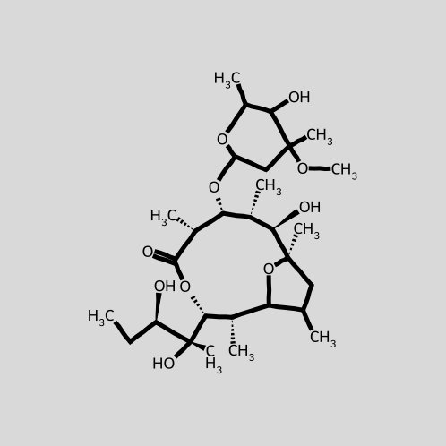 CC[C@@H](O)[C@@](C)(O)[C@@H]1OC(=O)[C@H](C)[C@H](OC2CC(C)(OC)C(O)C(C)O2)[C@H](C)[C@@H](O)[C@@]2(C)CC(C)C(O2)[C@@H]1C